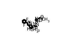 CC1(C)[C@H]2CC[C@]1(c1ccnc(-n3cnc(CS(C)(=O)=O)n3)n1)c1nnc(-c3c(F)cccc3F)cc12